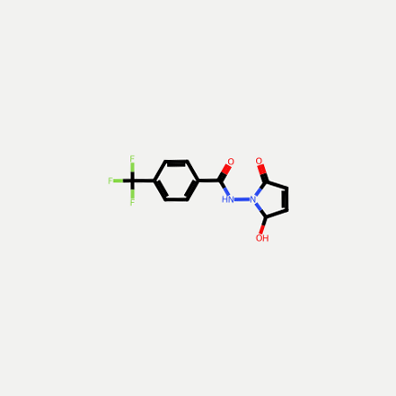 O=C(NN1C(=O)C=CC1O)c1ccc(C(F)(F)F)cc1